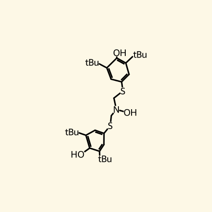 CC(C)(C)c1cc(SCN(O)CSc2cc(C(C)(C)C)c(O)c(C(C)(C)C)c2)cc(C(C)(C)C)c1O